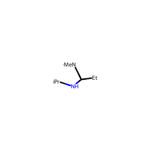 CCC([N]C)NC(C)C